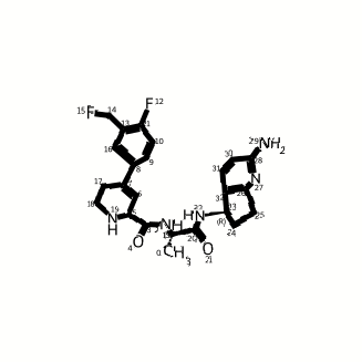 C[C@H](NC(=O)C1C=C(c2ccc(F)c(CF)c2)CCN1)C(=O)N[C@@H]1CCc2nc(N)ccc21